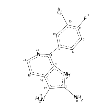 Nc1[nH]c2c(-c3ccc(F)c(Cl)c3)nccc2c1N